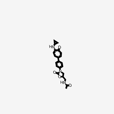 CC(=O)NCC1CN(c2ccc(-c3ccc(NC4CC4)c(=O)cc3)cc2)C(=O)O1